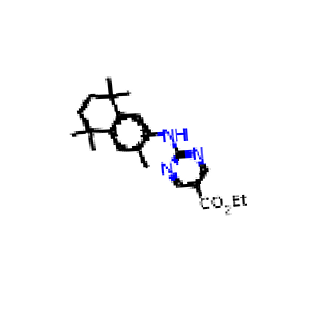 CCOC(=O)c1cnc(Nc2cc3c(cc2C)C(C)(C)CCC3(C)C)nc1